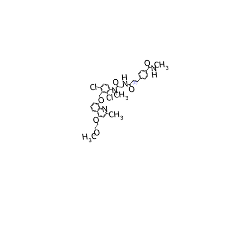 CNC(=O)c1ccc(/C=C/C(=O)NCC(=O)N(C)c2ccc(Cl)c(COc3cccc4c(OCCOC)cc(C)nc34)c2Cl)cc1